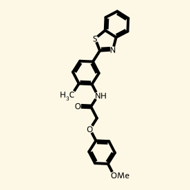 COc1ccc(OCC(=O)Nc2cc(-c3nc4ccccc4s3)ccc2C)cc1